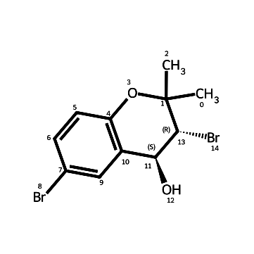 CC1(C)Oc2ccc(Br)cc2[C@H](O)[C@H]1Br